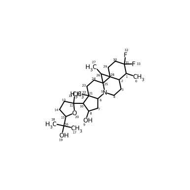 CC1C2CCN3C4CC(O)C(C5(C)CCC(C(C)(C)O)O5)C4(C)CCC34C(C)C24CCC1(F)F